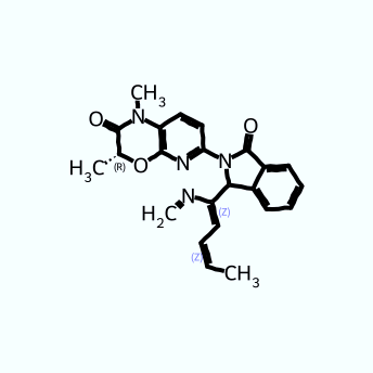 C=N/C(=C\C=C/C)C1c2ccccc2C(=O)N1c1ccc2c(n1)O[C@H](C)C(=O)N2C